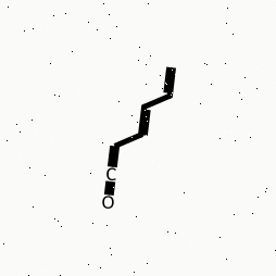 C=CC=CC=C=O